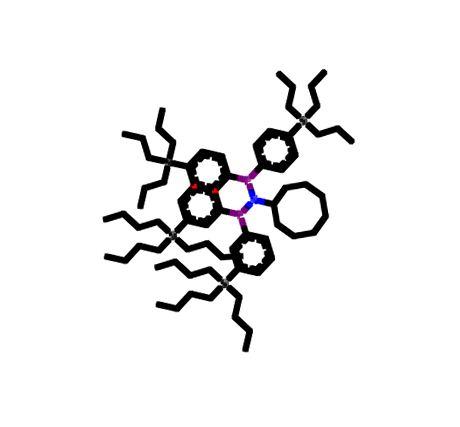 CCCC[Si](CCCC)(CCCC)c1cccc(P(c2cccc([Si](CCCC)(CCCC)CCCC)c2)N(C2CCCCCCC2)P(c2ccc([Si](CCC)(CCC)CCC)cc2)c2ccc([Si](CCC)(CCC)CCC)cc2)c1